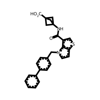 O=C(NC12CC(C(=O)O)(C1)C2)c1csc2ccn(Cc3ccc(-c4ccccc4)cc3)c12